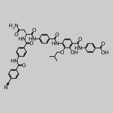 CC(C)COc1c(NC(=O)c2ccc(NC(=O)[C@H](CC(N)=O)NC(=O)c3ccc(NC(=O)c4ccc(C#N)cc4)cc3)cc2)ccc(C(=O)Nc2ccc(C(=O)O)cc2)c1O